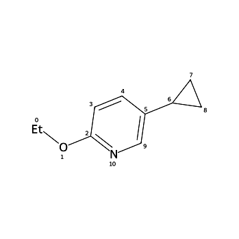 CCOc1ccc(C2CC2)cn1